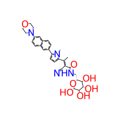 C/C(=C(/C#N)C(=O)NC[C@H]1OC(O)[C@H](O)[C@@H](O)[C@@H]1O)c1ccc(-c2ccc3cc(N4CCOCC4)ccc3c2)n1C